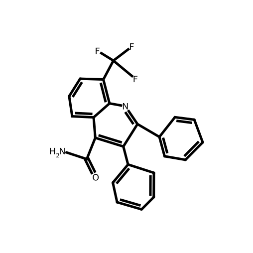 NC(=O)c1c(-c2ccccc2)c(-c2ccccc2)nc2c(C(F)(F)F)cccc12